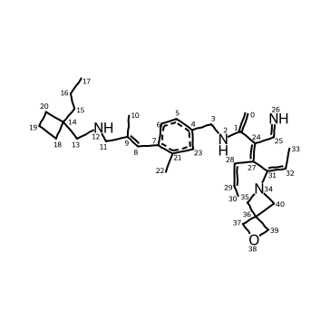 C=C(NCc1ccc(/C=C(\C)CNCC2(CCC)CCC2)c(C)c1)/C(C=N)=C(\C=C/C)C(=C\C)/N1CC2(COC2)C1